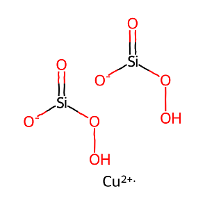 O=[Si]([O-])OO.O=[Si]([O-])OO.[Cu+2]